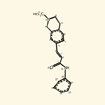 O=C(/C=C/c1ccc2c(c1)CN(C(=O)O)CC2)Nc1ccccc1